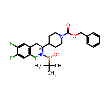 CC(C)(C)[S+]([O-])N[C@@H](Cc1cc(F)c(F)cc1F)C1CCN(C(=O)OCc2ccccc2)CC1